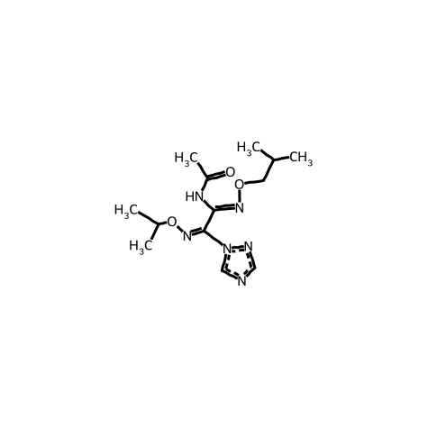 CC(=O)NC(=NOCC(C)C)C(=NOC(C)C)n1cncn1